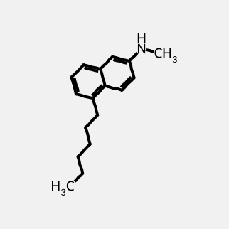 CCCCCCc1cccc2cc(NC)ccc12